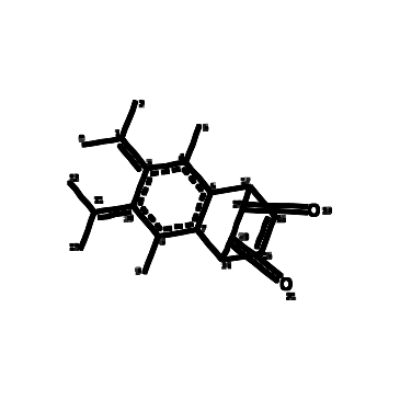 CC(C)=c1c(C)c2c(c(C)c1=C(C)C)C1C=CC2C(=O)C1=O